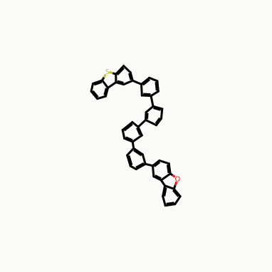 c1cc(-c2cccc(-c3cccc(-c4ccc5sc6ccccc6c5c4)c3)c2)cc(-c2cccc(-c3ccc4oc5ccccc5c4c3)c2)c1